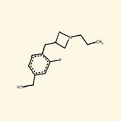 CCCN1CC(Cc2ccc(CO)cc2F)C1